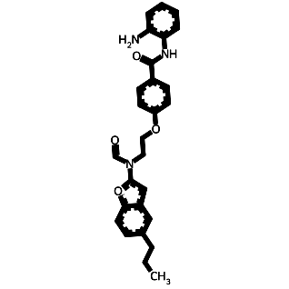 CCCc1ccc2oc(N(C=O)CCOc3ccc(C(=O)Nc4ccccc4N)cc3)cc2c1